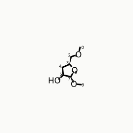 COC[C@@H]1CC(O)[C@H](OC)O1